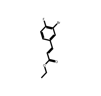 CCOC(=O)C=Cc1ccc(F)c(Br)c1